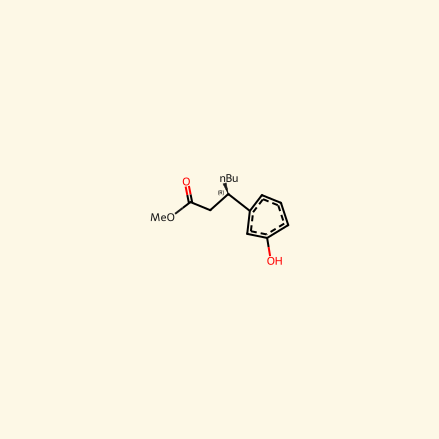 CCCC[C@H](CC(=O)OC)c1cccc(O)c1